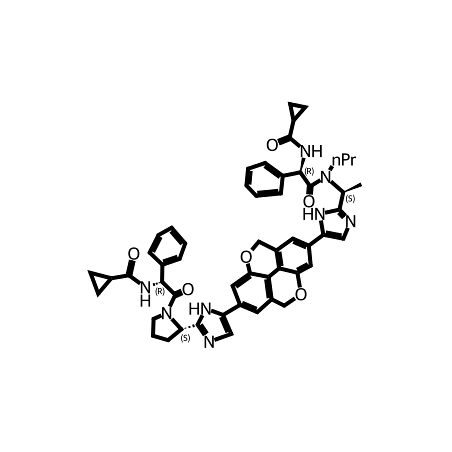 CCCN(C(=O)[C@H](NC(=O)C1CC1)c1ccccc1)[C@@H](C)c1ncc(-c2cc3c4c(c2)OCc2cc(-c5cnc([C@@H]6CCCN6C(=O)[C@H](NC(=O)C6CC6)c6ccccc6)[nH]5)cc(c2-4)OC3)[nH]1